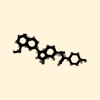 COc1ncnc2ccc(-c3c[nH]c4nc(NC(=O)C5CCN(C)CC5)ccc34)cc12